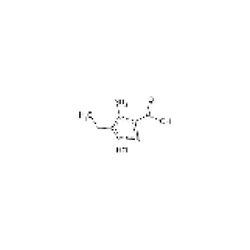 CCc1csc(C(=O)O)c1N.Cl